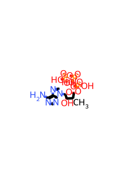 CC1C(OP(=O)(O)OP(=O)(O)OP(=O)(O)O)OC(n2cnc3c(N)ncnc32)C1O